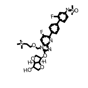 CS(C)(C)CCOCn1c(O[C@@H]2CO[C@H]3[C@@H]2OC[C@H]3O)nc2nc(-c3ccc(-c4ccc(N=S(C)(C)=O)cc4F)cc3)c(F)cc21